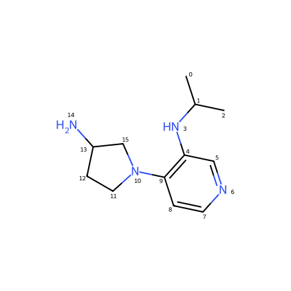 CC(C)Nc1cnccc1N1CCC(N)C1